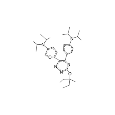 CCC(C)(CC)Oc1nnc(-c2ccc(N(C(C)C)C(C)C)cc2)c(-c2ccc(N(C(C)C)C(C)C)cc2)n1